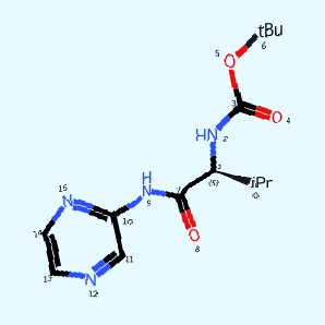 CC(C)[C@H](NC(=O)OC(C)(C)C)C(=O)Nc1cnccn1